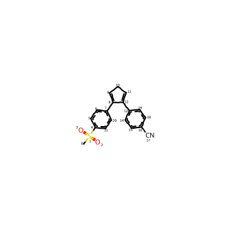 CS(=O)(=O)c1ccc(C2=CCC=C2c2ccc(C#N)cc2)cc1